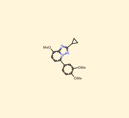 COc1ccc(-c2ccc(OC)c3nc(C4CC4)nn23)cc1OC